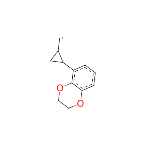 [CH2]C1CC1c1cccc2c1OCCO2